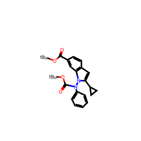 CC(C)(C)OC(=O)c1ccc2cc(C3CC3)n(N(C(=O)OC(C)(C)C)c3ccccc3)c2c1